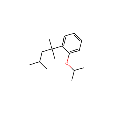 CC(C)CC(C)(C)c1ccccc1OC(C)C